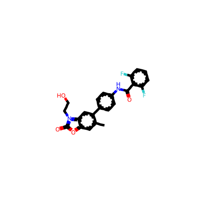 Cc1cc2oc(=O)n(CCO)c2cc1-c1ccc(NC(=O)c2c(F)cccc2F)cc1